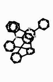 c1ccc(-c2cc(-c3cccc4c3C3(c5ccccc5-4)c4ccccc4N(c4ccccc4)c4ccccc43)nc(-c3ccccc3)n2)cc1